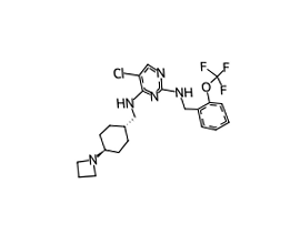 FC(F)(F)Oc1ccccc1CNc1ncc(Cl)c(NC[C@H]2CC[C@H](N3CCC3)CC2)n1